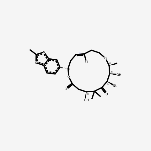 CC[C@H]1C(=O)C(C)(C)[C@@H](O)CC(=O)O[C@H](c2ccc3sc(C)nc3c2)C/C=C(\Cl)CCO[C@@H](C)[C@H]1O